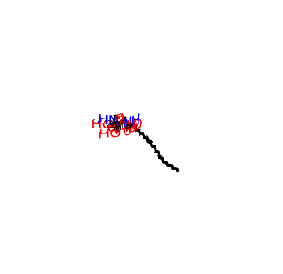 CCCCCCCCCCCCCCCCCCCCCC(=O)OC[C@@H]([C]=O)NCC(C)O[C@H]1[C@H](O)[C@@H](CO)O[C@H](O)[C@@H]1NC(C)=O